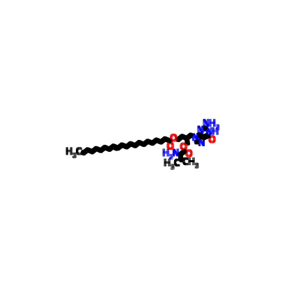 CCCCCCCC/C=C/CCCCCCCCCCCC(=O)OCCC(COC(=O)[C@@H](N)C(C)C)Cn1cnc2c(=O)[nH]c(N)nc21